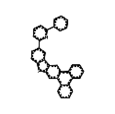 c1ccc(-c2cccc(-c3ccc4sc5cc6c7ccccc7c7ccccc7c6cc5c4c3)n2)cc1